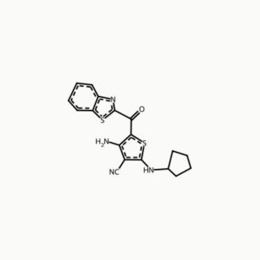 N#Cc1c(NC2CCCC2)sc(C(=O)c2nc3ccccc3s2)c1N